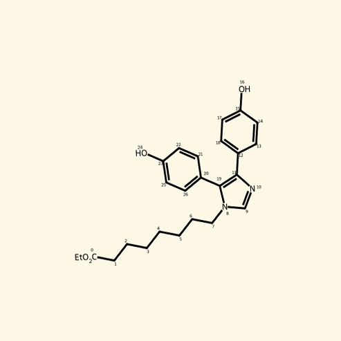 CCOC(=O)CCCCCCCn1cnc(-c2ccc(O)cc2)c1-c1ccc(O)cc1